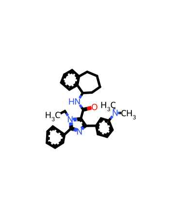 CCn1c(-c2ccccc2)nc(-c2cccc(N(C)C)c2)c1C(=O)NC1CCCCc2ccccc21